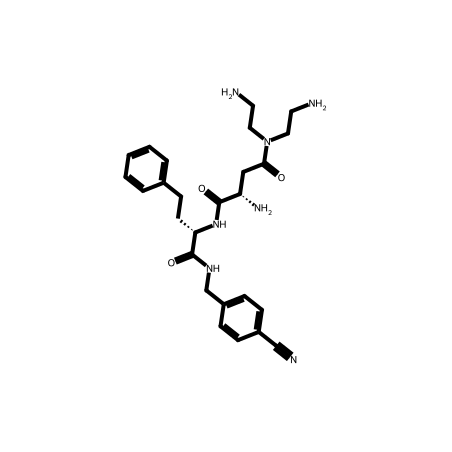 N#Cc1ccc(CNC(=O)[C@H](CCc2ccccc2)NC(=O)[C@@H](N)CC(=O)N(CCN)CCN)cc1